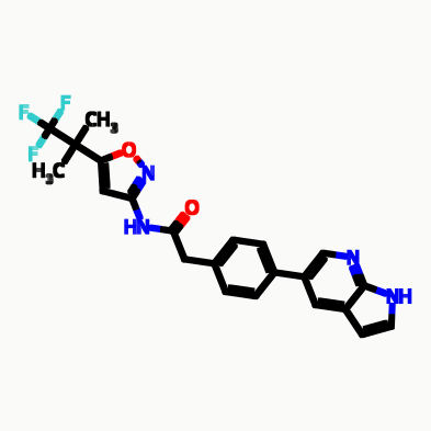 CC(C)(c1cc(NC(=O)Cc2ccc(-c3cnc4[nH]ccc4c3)cc2)no1)C(F)(F)F